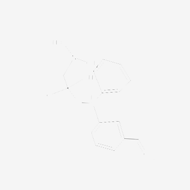 C=Cc1cccc([SiH](OC(C)(C)CN(C)C)c2ccccc2)c1